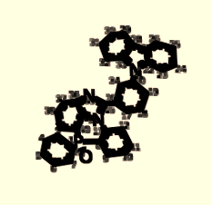 O=P1(c2ccccc2)c2ccccc2-n2c(-c3cccc(-n4c5ccccc5c5ccccc54)c3)nc3cccc1c32